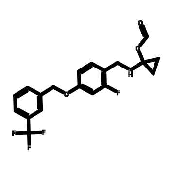 O=COC1(NCc2ccc(OCc3cccc(C(F)(F)F)c3)cc2F)CC1